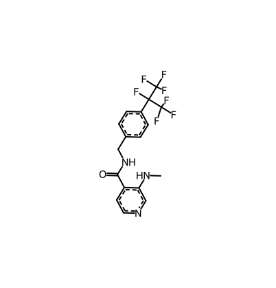 CNc1cnccc1C(=O)NCc1ccc(C(F)(C(F)(F)F)C(F)(F)F)cc1